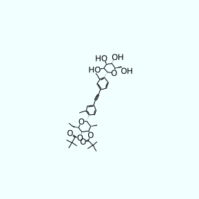 CC[C@H]1O[C@H](c2ccc(C#Cc3ccc([C@H]4O[C@H](CO)[C@@H](O)[C@H](O)[C@@H]4O)c(C)c3)cc2C)[C@@H](C)[C@@H](OC(=O)C(C)(C)C)[C@@H]1OC(=O)C(C)(C)C